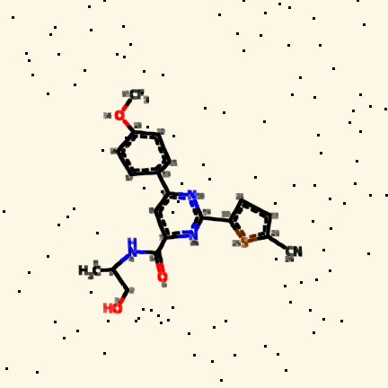 CC(CO)NC(=O)c1cc(-c2ccc(OC(F)(F)F)cc2)nc(-c2ccc(C#N)s2)n1